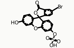 O=C1OC2(c3ccc(O)cc3Oc3cc(OS(=O)(=O)O)ccc32)c2ccc(Br)cc21